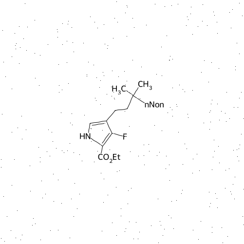 CCCCCCCCCC(C)(C)CCc1c[nH]c(C(=O)OCC)c1F